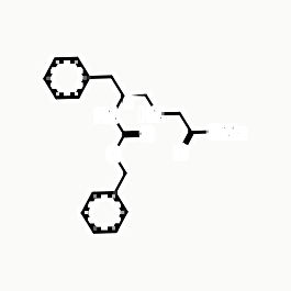 COC(=O)CNC[C@H](Cc1ccccc1)NC(=O)OCc1ccccc1